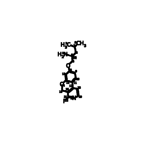 CC(C)C[C@H](N)COc1ccc2c(c1)OCc1c-2ccnc1F